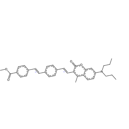 CCCN(CCC)c1ccc2c(C)c(/C=C/c3ccc(/C=C/c4ccc(C(=O)OC)cc4)cc3)c(=O)oc2c1